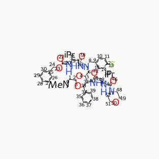 CNCC(=O)O[C@@H](CN(Cc1ccc(F)cc1)NC(=O)[C@@H](NC(=O)OCc1ccccc1)C(C)C)[C@H](Cc1ccccc1)NC(=O)[C@@H](NC(=O)N1CCOCC1)C(C)C